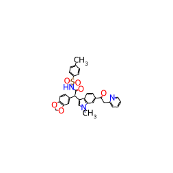 Cc1ccc(S(=O)(=O)NC(=O)C(c2ccc3c(c2)OCO3)c2cn(C)c3cc(C(=O)Cc4ccccn4)ccc23)cc1